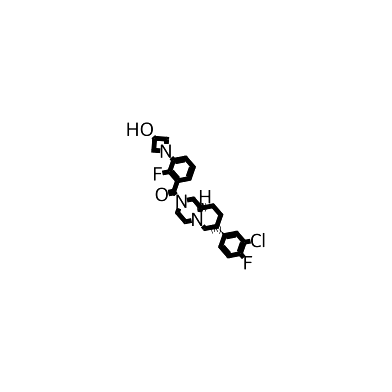 O=C(c1cccc(N2CC(O)C2)c1F)N1CCN2C[C@@H](c3ccc(F)c(Cl)c3)CC[C@@H]2C1